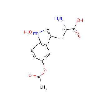 CC(=O)Oc1ccc2[nH]cc(C[C@H](N)C(=O)O)c2c1.O